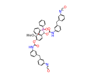 COc1cc(C(OC(=O)Nc2cccc(Cc3cccc(N=C=O)c3)c2)P(=O)(c2ccccc2)c2ccccc2)ccc1OC(=O)Nc1cccc(Cc2cccc(N=C=O)c2)c1